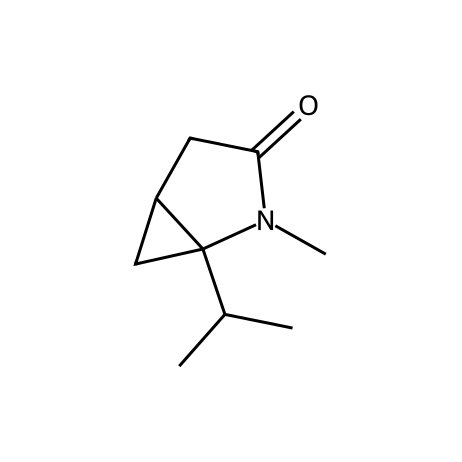 CC(C)C12CC1CC(=O)N2C